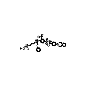 O=C(CO)NCCCC[C@H](CSc1ccccc1)Nc1ccc(S(=O)(=O)NC(=O)c2ccc(N3CCC4(CCCC4)CC3)cc2)cc1[N+](=O)[O-]